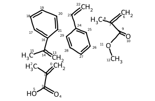 C=C(C)C(=O)O.C=C(C)C(=O)OC.C=C(C)c1ccccc1.C=Cc1ccccc1